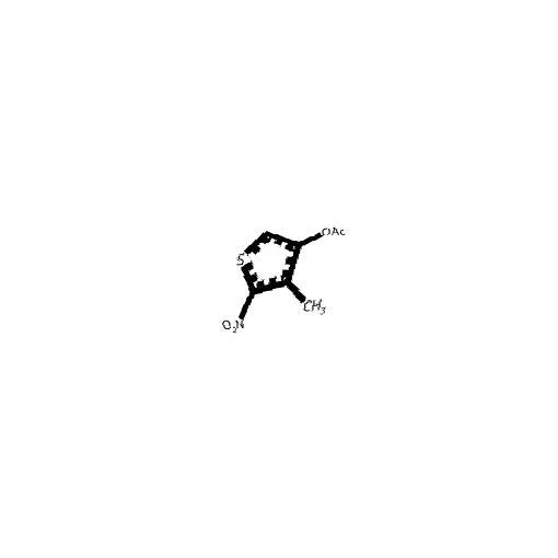 CC(=O)Oc1csc([N+](=O)[O-])c1C